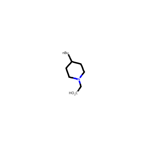 CCCCC1CCN(CC(=O)O)CC1